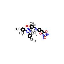 Cc1ccc(-c2nc(-c3ccc(C)cc3C)nc(-c3cc(CN(C)c4ccc(C=C5C(=O)NC(=O)NC5=O)cc4)cc(C)c3O)n2)c(C)c1